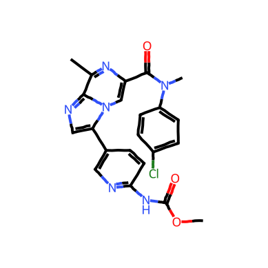 COC(=O)Nc1ccc(-c2cnc3c(C)nc(C(=O)N(C)c4ccc(Cl)cc4)cn23)cn1